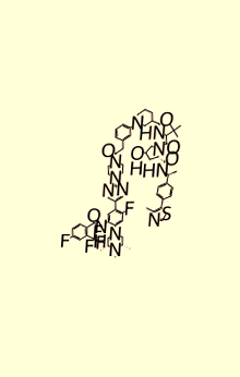 Cc1ncsc1-c1ccc([C@H](C)NC(=O)[C@@H]2C[C@@H](O)CN2C(=O)[C@@H](NC(=O)C2CCCN(c3cccc(CC(=O)N4CCN(c5ncc(-c6cc(NC(=O)c7ccc(F)cc7C(F)(F)F)c(N7C[C@@H](C)N(C)[C@@H](C)C7)cc6F)cn5)CC4)c3)C2)C(C)(C)C)cc1